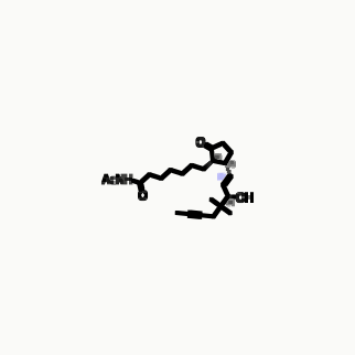 CC#CCC(C)(C)[C@H](O)/C=C/[C@H]1CCC(=O)[C@@H]1CCCCCCC(=O)NC(C)=O